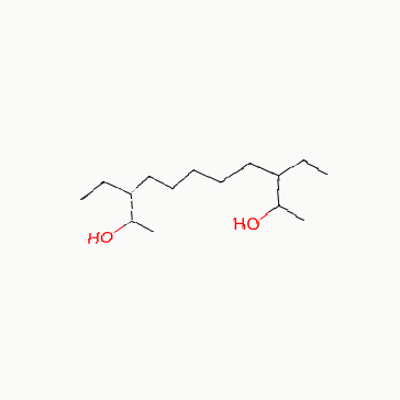 CCC(CCCCCC(CC)C(C)O)C(C)O